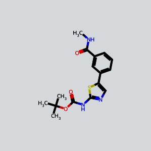 CNC(=O)c1cccc(-c2cnc(NC(=O)OC(C)(C)C)s2)c1